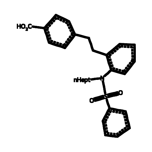 CCCCCCCN(c1ccccc1CCc1ccc(C(=O)O)cc1)S(=O)(=O)c1ccccc1